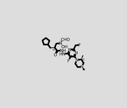 C[C@H]1CN(C)CCN1c1nc(CF)nc(NNC(=O)[C@@H](CC2CCCC2)CN(O)C=O)c1F